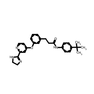 CC(C)(C)c1ccc(NC(=O)CCc2cccc(Oc3ccnc(C4=NCCN4)c3)c2)cc1